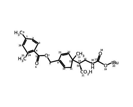 Cc1ccc(C(=O)OCC2=CCC(C)([C@@H](CNC(=O)OC(C)(C)C)C(=O)O)C=C2)c(C)c1